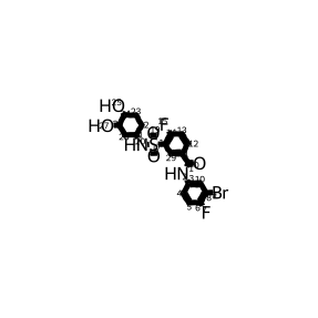 O=C(Nc1ccc(F)c(Br)c1)c1ccc(F)c(S(=O)(=O)NC2CCC(O)C(O)C2)c1